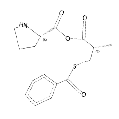 C[C@H](CSC(=O)c1ccccc1)C(=O)OC(=O)[C@@H]1CCCN1